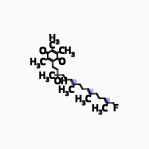 CC1=C(C)C(=O)C(CCC(C)(O)CC/C=C(\C)CC/C=C(\C)CC/C=C(\C)CF)=C(C)C1=O